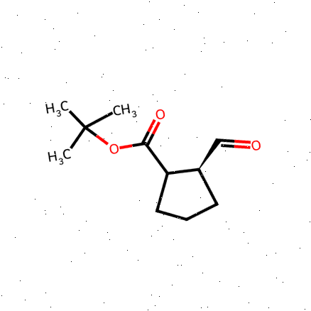 CC(C)(C)OC(=O)C1CCC[C@@H]1C=O